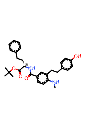 CNc1ccc(C(=O)N[C@@H](CCc2ccccc2)C(=O)OC(C)(C)C)cc1CCc1ccc(O)cc1